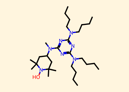 CCCCN(CCCC)c1nc(N(CCCC)CCCC)nc(N(C)C2CC(C)(C)N(O)C(C)(C)C2)n1